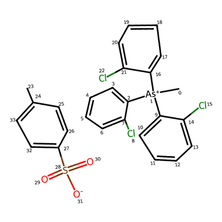 C[As+](c1ccccc1Cl)(c1ccccc1Cl)c1ccccc1Cl.Cc1ccc(S(=O)(=O)[O-])cc1